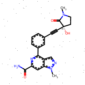 CN1CC[C@@](O)(C#Cc2cccc(-c3nc(C(N)=O)cc4c3cnn4C)c2)C1=O